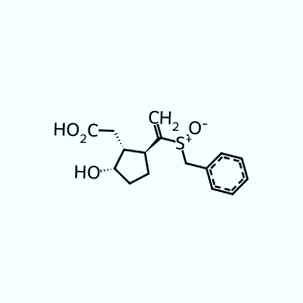 C=C([C@H]1CC[C@H](O)[C@@H]1CC(=O)O)[S+]([O-])Cc1ccccc1